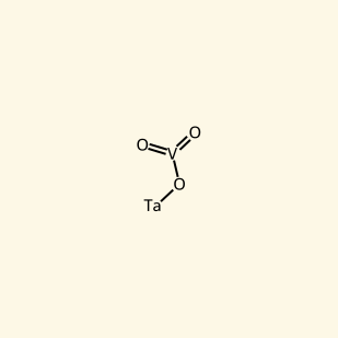 [O]=[V](=[O])[O][Ta]